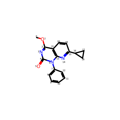 COc1nc(=O)n(-c2ccccc2)c2nc(C3CC3)ccc12